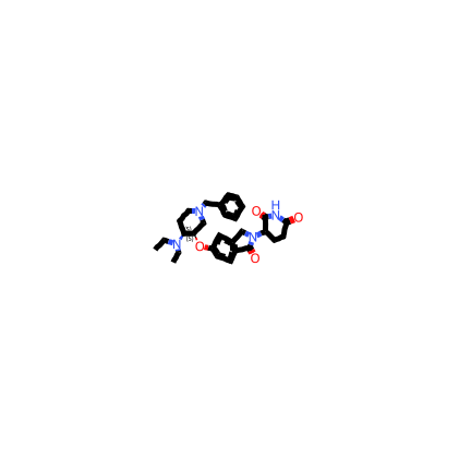 CCN(CC)[C@H]1CCN(Cc2ccccc2)C[C@@H]1Oc1ccc2c(c1)CN(C1CCC(=O)NC1=O)C2=O